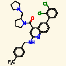 O=C(c1cc(NCc2ccc(C(F)(F)F)cc2)nc2ccc(-c3cccc(Cl)c3Cl)cc12)N1CCC[C@H]1CN1CCCC1